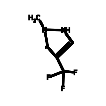 CN1[C]C(C(F)(F)F)=CN1